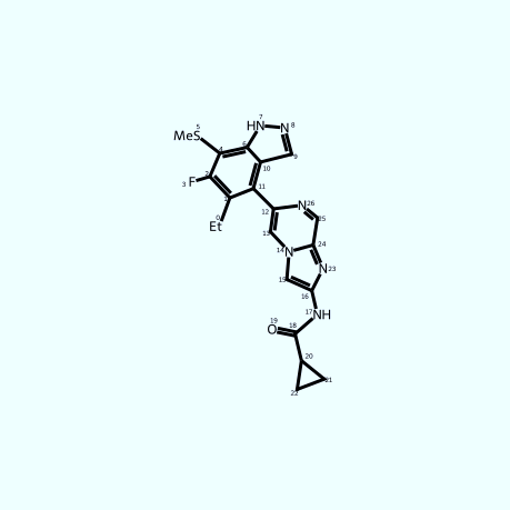 CCc1c(F)c(SC)c2[nH]ncc2c1-c1cn2cc(NC(=O)C3CC3)nc2cn1